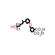 CCC(O)(CC)CCC=C(C)c1cccc(OCc2ccc(C(=O)O)c(C(=O)O)c2)c1